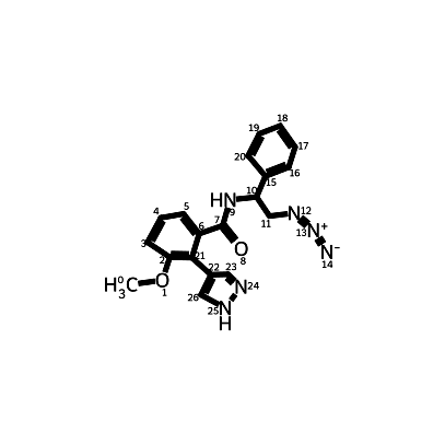 COc1cccc(C(=O)NC(CN=[N+]=[N-])c2ccccc2)c1-c1cn[nH]c1